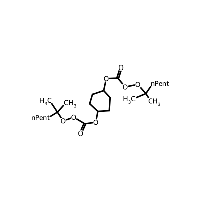 CCCCCC(C)(C)OOC(=O)OC1CCC(OC(=O)OOC(C)(C)CCCCC)CC1